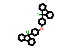 ClC1(c2ccc(Oc3ccc(C4(Cl)c5ccccc5-c5ccccc54)cc3)cc2)c2ccccc2-c2ccccc21